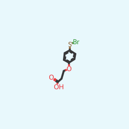 O=C(O)CCOc1ccc(SBr)cc1